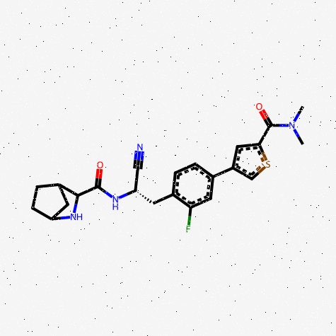 CN(C)C(=O)c1cc(-c2ccc(C[C@@H](C#N)NC(=O)C3NC4CCC3C4)c(F)c2)cs1